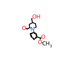 COC(=O)c1cccc(N2CCC(CO)CC2C=O)c1